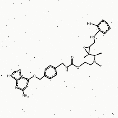 C[C@@H](N(C)CCOC(=O)NCc1ccc(COc2nc(N)nc3[nH]cnc23)cc1)[C@]1(C)SC1CNc1ccccc1S